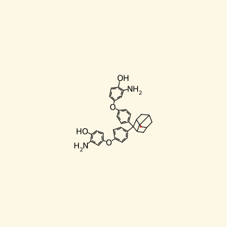 Nc1cc(Oc2ccc(C3(c4ccc(Oc5ccc(O)c(N)c5)cc4)C4CC5CC(C4)CC3C5)cc2)ccc1O